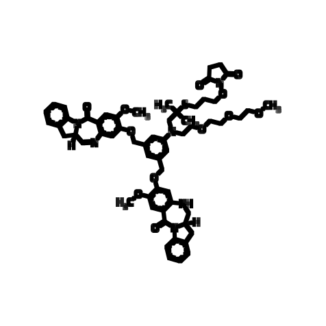 COCCOCCOCCN(CC(C)(C)SCCCON1C(=O)CCC1=O)c1cc(COc2cc3c(cc2OC)C(=O)N2c4ccccc4C[C@H]2C=N3)cc(COc2cc3c(cc2OC)C(=O)N2c4ccccc4C[C@H]2CN3)c1